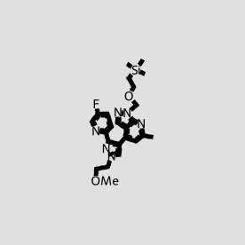 COCCn1cc(-c2cc(C)nc3c2cnn3COCC[Si](C)(C)C)c(-c2ccc(F)cn2)n1